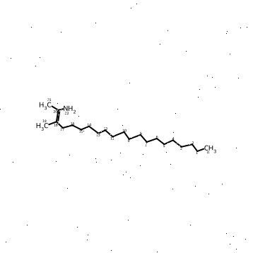 CCCCCCCCCCCCCCCCCCC(C)=C(C)N